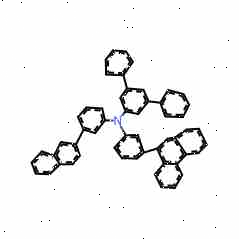 c1ccc(-c2cc(-c3ccccc3)cc(N(c3cccc(-c4ccc5ccccc5c4)c3)c3cccc(-c4cc5ccccc5c5ccccc45)c3)c2)cc1